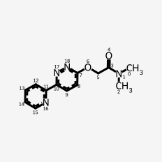 CN(C)C(=O)COc1ccc(-c2ccccn2)nn1